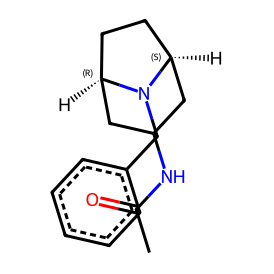 CC(=O)NC1C[C@H]2CC[C@@H](C1)N2Cc1ccccc1